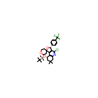 CC1(C)Cc2nc(Cl)c3c(c2[C@@H](O[Si](C)(C)C(C)(C)C)C1)C1(CCOCC1)O[C@@H]3c1ccc(C(F)(F)F)cc1